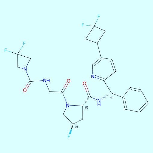 O=C(N[C@@H](c1ccccc1)c1ccc(C2CC(F)(F)C2)cn1)[C@@H]1C[C@@H](F)CN1C(=O)CNC(=O)N1CC(F)(F)C1